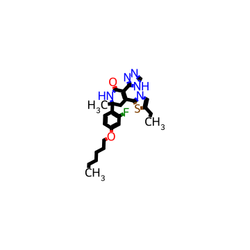 CCCCCCOc1ccc(C2(C)CC(c3ncc(CC)s3)=C(c3nnc[nH]3)C(=O)N2)c(F)c1